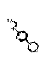 CCNc1ccc(N2CCOCC2)cn1